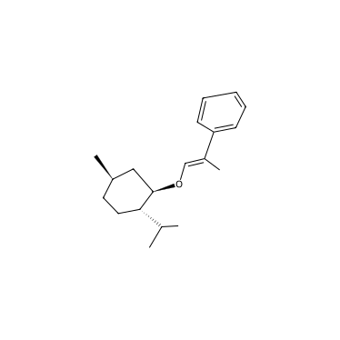 C/C(=C\O[C@@H]1C[C@H](C)CC[C@H]1C(C)C)c1ccccc1